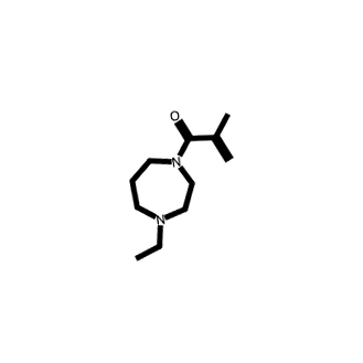 C=C(C)C(=O)N1CCCN(CC)CC1